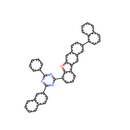 c1ccc(-c2nc(-c3ccc4ccccc4c3)nc(-c3cccc4c3oc3cc5ccc(-c6cccc7ccccc67)cc5cc34)n2)cc1